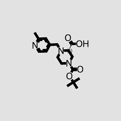 Cc1cc(CN2CCN(C(=O)OC(C)(C)C)C[C@H]2C(=O)O)ccn1